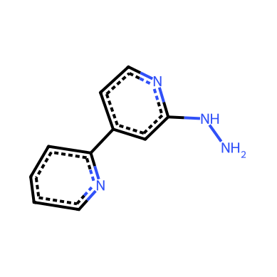 NNc1cc(-c2ccccn2)ccn1